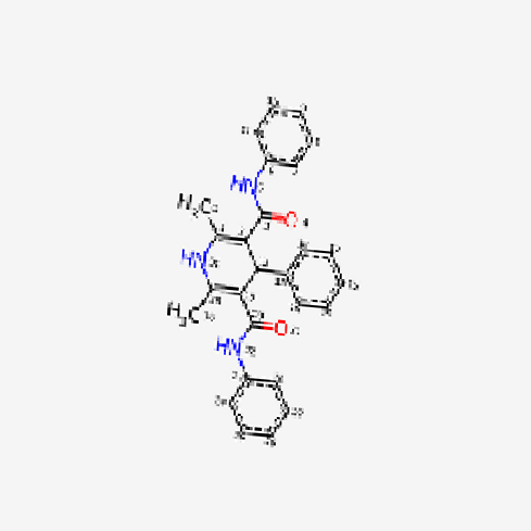 CC1=C(C(=O)Nc2ccccc2)C(c2ccccc2)C(C(=O)Nc2ccccc2)=C(C)N1